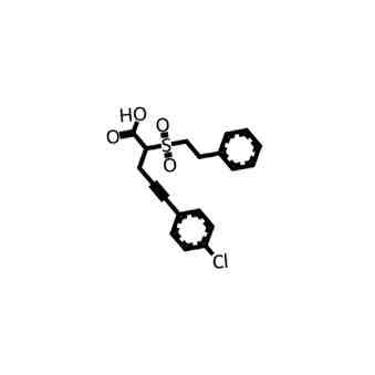 O=C(O)C(CC#Cc1ccc(Cl)cc1)S(=O)(=O)CCc1ccccc1